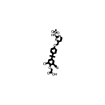 CC(C)(c1ccc(OCc2ccnc(NS(C)(=O)=O)n2)cc1)c1cc(Cl)c(OCC(=O)O)c(C#N)c1